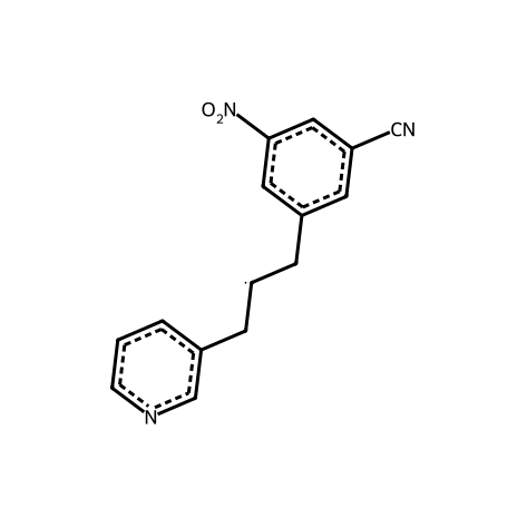 N#Cc1cc(C[CH]Cc2cccnc2)cc([N+](=O)[O-])c1